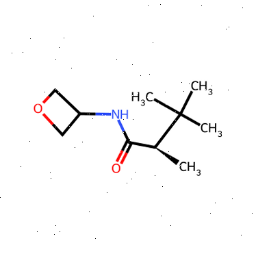 C[C@@H](C(=O)NC1COC1)C(C)(C)C